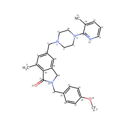 Cc1cc(CN2CCN(c3ncccc3C#N)CC2)cc2c1C(=O)N(Cc1ccc(OC(F)(F)F)cc1)C2